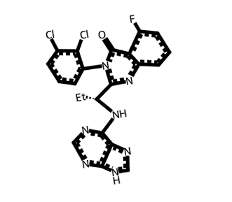 CC[C@@H](Nc1ncnc2[nH]cnc12)c1nc2cccc(F)c2c(=O)n1-c1cccc(Cl)c1Cl